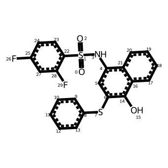 O=S(=O)(Nc1cc(Sc2ccccc2)c(O)c2ccccc12)c1ccc(F)cc1F